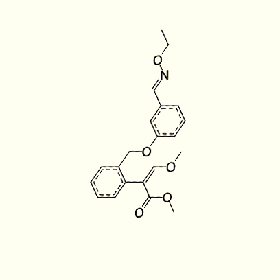 CCO/N=C/c1cccc(OCc2ccccc2/C(=C/OC)C(=O)OC)c1